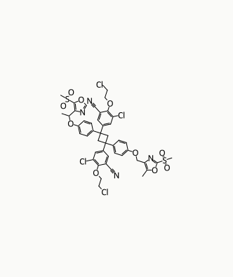 Cc1oc(S(C)(=O)=O)nc1COc1ccc(C2(c3cc(Cl)c(OCCCl)c(C#N)c3)CC(c3ccc(OC(C)c4ncoc4S(C)(=O)=O)cc3)(c3cc(Cl)c(OCCCl)c(C#N)c3)C2)cc1